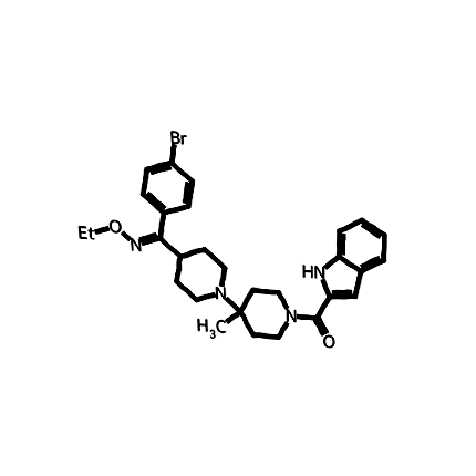 CCON=C(c1ccc(Br)cc1)C1CCN(C2(C)CCN(C(=O)c3cc4ccccc4[nH]3)CC2)CC1